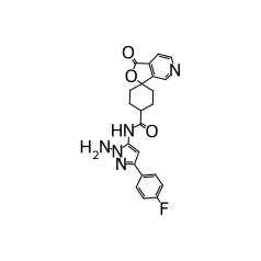 Nn1nc(-c2ccc(F)cc2)cc1NC(=O)C1CCC2(CC1)OC(=O)c1ccncc12